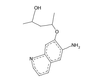 CC(O)CC(C)Oc1cc2ncccc2cc1N